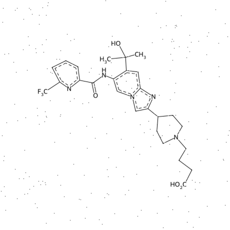 CC(C)(O)c1cc2nc(C3CCN(CCCC(=O)O)CC3)cn2cc1NC(=O)c1cccc(C(F)(F)F)n1